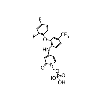 O=c1cc(Nc2ccc(C(F)(F)F)cc2Oc2ccc(F)cc2F)ccn1COP(=O)(O)O